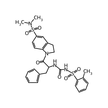 Cc1ccccc1S(=O)(=O)NC(=O)NC(Cc1ccccc1)C(=O)N1CCc2cc(S(=O)(=O)N(C)C)ccc21